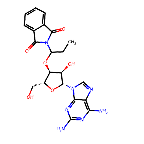 CCC(O[C@H]1[C@@H](O)[C@H](n2cnc3c(N)nc(N)nc32)O[C@@H]1CO)N1C(=O)c2ccccc2C1=O